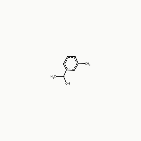 C[C](O)c1cccc(C)c1